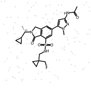 CC(=O)Nc1cc(-c2cc3c(c(S(=O)(=O)NCC4(CF)CC4)c2)C(=O)N([C@@H](C)C2CC2)C3)n(C)n1